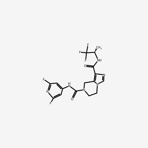 C[C@@H](NC(=O)c1ncn2c1CN(C(=O)Nc1cc(F)nc(F)c1)CC2)C(F)(F)F